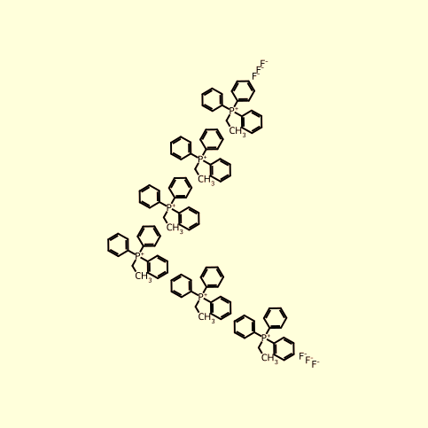 CC[P+](c1ccccc1)(c1ccccc1)c1ccccc1.CC[P+](c1ccccc1)(c1ccccc1)c1ccccc1.CC[P+](c1ccccc1)(c1ccccc1)c1ccccc1.CC[P+](c1ccccc1)(c1ccccc1)c1ccccc1.CC[P+](c1ccccc1)(c1ccccc1)c1ccccc1.CC[P+](c1ccccc1)(c1ccccc1)c1ccccc1.[F-].[F-].[F-].[F-].[F-].[F-]